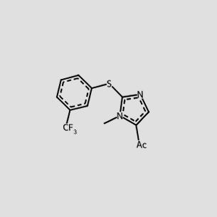 CC(=O)c1cnc(Sc2cccc(C(F)(F)F)c2)n1C